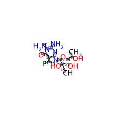 C#C[C@@]1(O)C(O)[C@@H]([C@H](C)O)O[C@H]1n1cc(F)c2c(=O)n(N)c(N)nc21